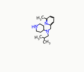 Cc1cccc(CN(CC(C)C)C2CCNCC2)n1